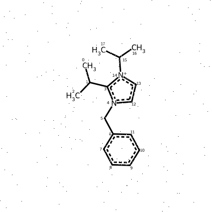 CC(C)c1n(Cc2ccccc2)cc[n+]1C(C)C